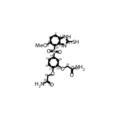 COc1ccc2[nH]c(S)nc2c1S(=O)(=O)c1ccc(OCC(N)=O)c(OCC(N)=O)c1